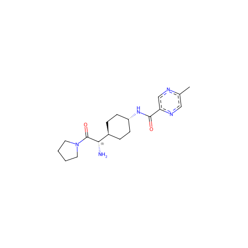 Cc1cnc(C(=O)N[C@H]2CC[C@H]([C@H](N)C(=O)N3CCCC3)CC2)cn1